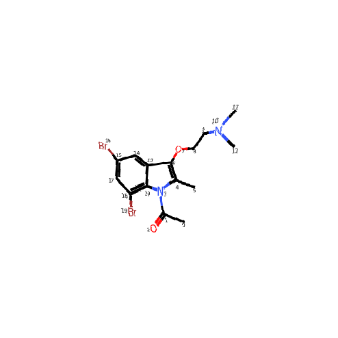 CC(=O)n1c(C)c(OCCN(C)C)c2cc(Br)cc(Br)c21